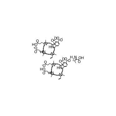 C=CC1=C(C)c2cc3[nH]c(cc4nc(cc5[nH]c(cc1n2)c(C)c5CCC(=O)O)C(CCC(=O)OC)=C4C)[C@@]1(C)C3=CC=C(C(=O)OC)[C@H]1C(=O)OC.C=CC1=C(C)c2cc3[nH]c(cc4nc(cc5[nH]c(cc1n2)c(C)c5CCC(=O)OC)C(CCC(=O)O)=C4C)[C@@]1(C)C3=CC=C(C(=O)OC)[C@H]1C(=O)OC.CC(C)[C@H](N)C(=O)O